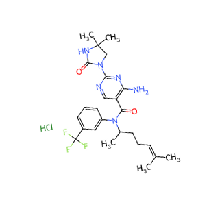 CC(C)=CCCC(C)N(C(=O)c1cnc(N2CC(C)(C)NC2=O)nc1N)c1cccc(C(F)(F)F)c1.Cl